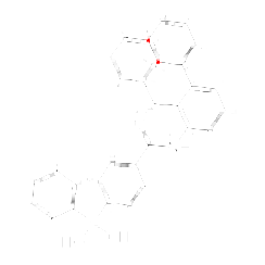 C[Si](O)(c1ccccc1)c1ccc(C(=O)Nc2[c]ccc(-c3ccccc3)c2Cc2ccccc2)cc1